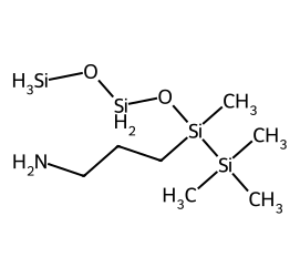 C[Si](C)(C)[Si](C)(CCCN)O[SiH2]O[SiH3]